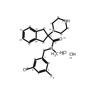 CN(Cc1cc(F)cc(Cl)c1)C(=O)C1(N2CCNCC2)Cc2ccccc2C1.Cl.Cl